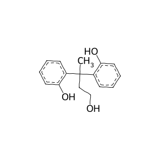 CC(CCO)(c1ccccc1O)c1ccccc1O